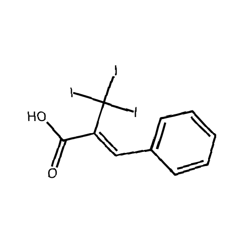 O=C(O)C(=Cc1ccccc1)C(I)(I)I